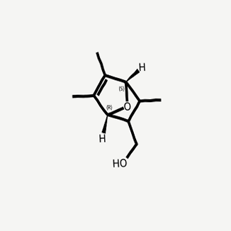 CC1=C(C)[C@@H]2O[C@H]1C(C)C2CO